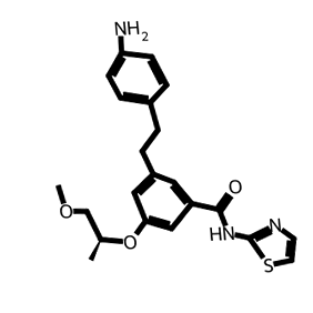 COC[C@H](C)Oc1cc(CCc2ccc(N)cc2)cc(C(=O)Nc2nccs2)c1